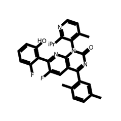 Cc1ccc(C)c(-c2nc(=O)n(-c3c(C)ccnc3C(C)C)c3nc(-c4c(O)cccc4F)c(F)cc23)c1